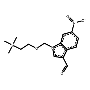 C[Si](C)(C)CCOCn1cc(C=O)c2ccc([N+](=O)[O-])cc21